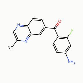 N#Cc1cnc2ccc(C(=O)c3ccc(N)cc3F)cc2n1